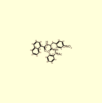 CC(=O)N(NC(=O)[C@H](Cc1ccc([N+](=O)[O-])cc1)NC(=O)c1cccc2ccccc12)c1ccccc1